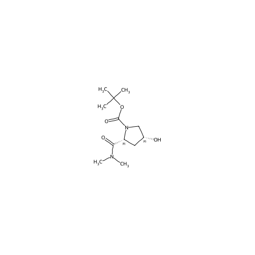 CN(C)C(=O)[C@H]1C[C@@H](O)CN1C(=O)OC(C)(C)C